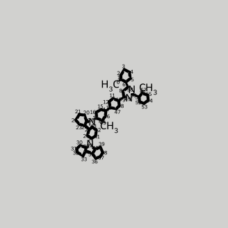 Cc1ccccc1-c1cc(-c2ccc(-c3ccc(-n4c5ccccc5c5cc(-n6c7ccccc7c7ccccc76)ccc54)c(C)c3)cc2)nc(-c2ccccc2C)n1